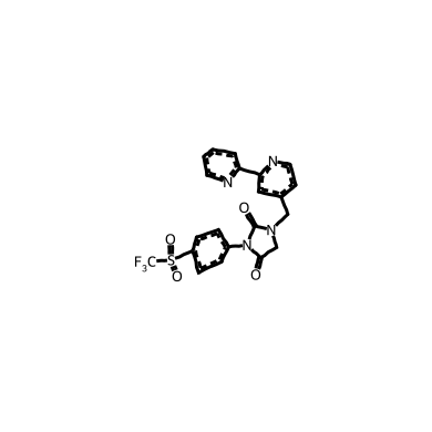 O=C1CN(Cc2ccnc(-c3ccccn3)c2)C(=O)N1c1ccc(S(=O)(=O)C(F)(F)F)cc1